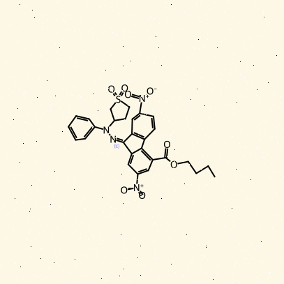 CCCCOC(=O)c1cc([N+](=O)[O-])cc2c1-c1ccc([N+](=O)[O-])cc1/C2=N\N(c1ccccc1)C1CCS(=O)(=O)C1